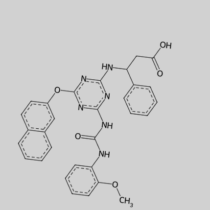 COc1ccccc1NC(=O)Nc1nc(NC(CC(=O)O)c2ccccc2)nc(Oc2ccc3ccccc3c2)n1